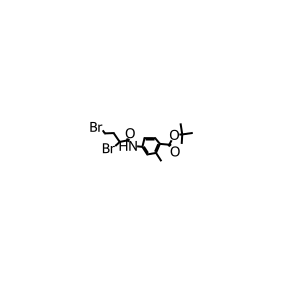 Cc1cc(NC(=O)C(Br)CCBr)ccc1C(=O)OC(C)(C)C